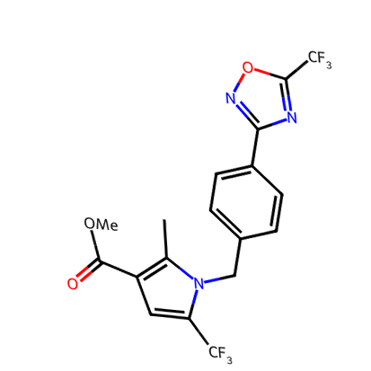 COC(=O)c1cc(C(F)(F)F)n(Cc2ccc(-c3noc(C(F)(F)F)n3)cc2)c1C